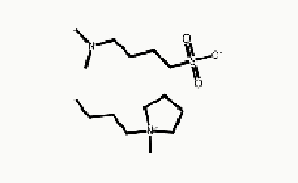 CCCC[N+]1(C)CCCC1.CN(C)CCCCS(=O)(=O)[O-]